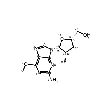 COc1nc(N)nc2c1ncn2[C@@H]1O[C@H](CO)C[C@@H]1F